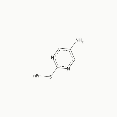 CCCSc1ncc(N)cn1